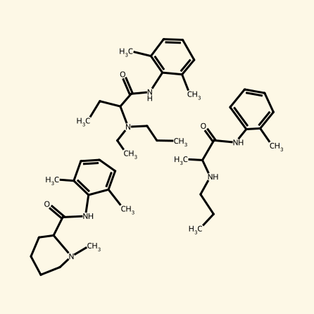 CCCN(CC)C(CC)C(=O)Nc1c(C)cccc1C.CCCNC(C)C(=O)Nc1ccccc1C.Cc1cccc(C)c1NC(=O)C1CCCCN1C